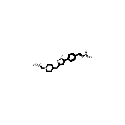 CCCNN=Cc1ccc(C2CC(CC3CCN(CC(=O)O)CC3)ON2)cc1